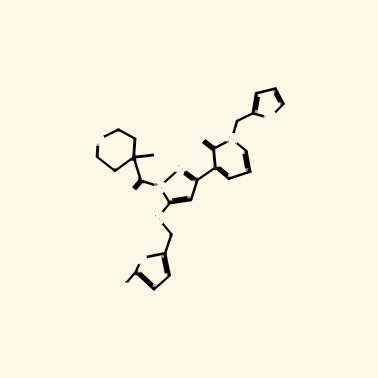 CC1(C(=O)n2nc(-c3cccn(Cc4ccco4)c3=O)cc2NCc2ccc(Cl)s2)CCOCC1